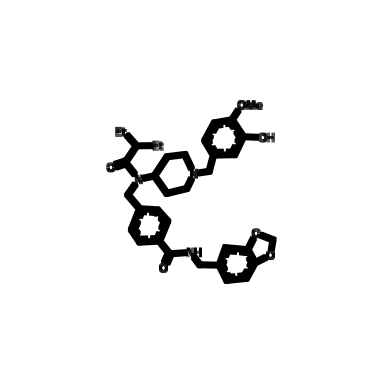 CCC(CC)C(=O)N(Cc1ccc(C(=O)NCc2ccc3c(c2)OCO3)cc1)C1CCN(Cc2ccc(OC)c(O)c2)CC1